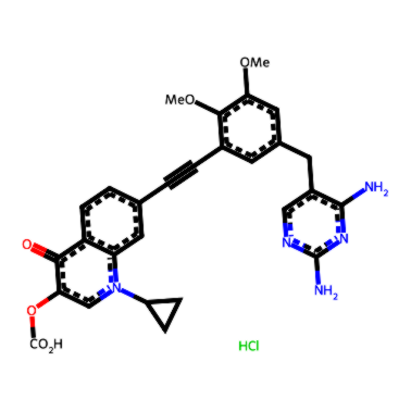 COc1cc(Cc2cnc(N)nc2N)cc(C#Cc2ccc3c(=O)c(OC(=O)O)cn(C4CC4)c3c2)c1OC.Cl